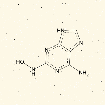 Nc1nc(NO)nc2[nH]cnc12